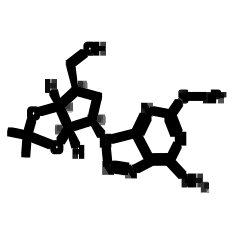 CCCSc1nc(N)c2nnn([C@@H]3C[C@H](CO)[C@H]4OC(C)(C)O[C@H]43)c2n1